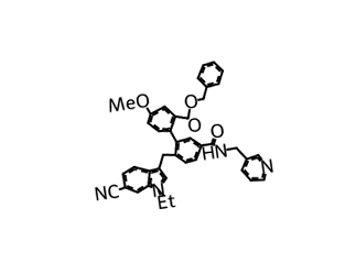 CCn1cc(Cc2ccc(C(=O)NCc3cccnc3)cc2-c2ccc(OC)cc2C(=O)OCc2ccccc2)c2ccc(C#N)cc21